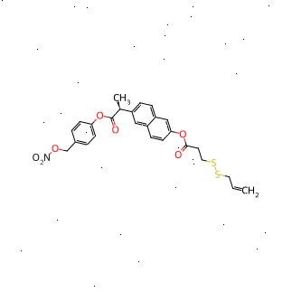 C=CCSSCCC(=O)Oc1ccc2cc([C@H](C)C(=O)Oc3ccc(CO[N+](=O)[O-])cc3)ccc2c1